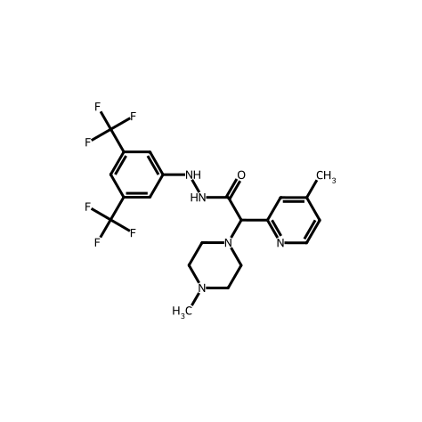 Cc1ccnc(C(C(=O)NNc2cc(C(F)(F)F)cc(C(F)(F)F)c2)N2CCN(C)CC2)c1